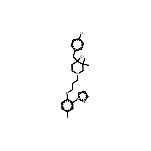 CC1(C)CN(CCCOc2ccc(Cl)cc2-n2cccn2)CCC1(O)Cc1ccc(Cl)cc1